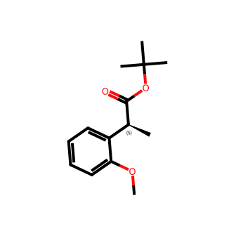 COc1ccccc1[C@H](C)C(=O)OC(C)(C)C